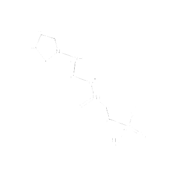 O=[PH](CCP(=O)(O)O)OCNN1CCCC1